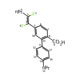 CCCC(F)=C(F)c1ccc(C(=O)O)c(-c2ccc(CCC)cc2)c1